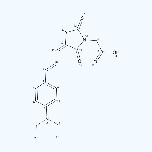 CCN(CC)c1ccc(C=CC=C2SC(=S)N(CC(=O)O)C2=O)cc1